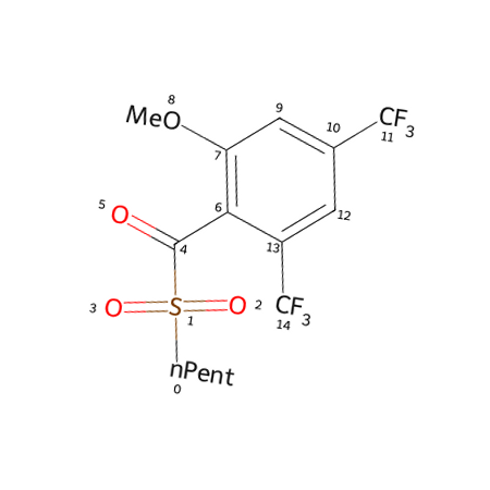 CCCCCS(=O)(=O)C(=O)c1c(OC)cc(C(F)(F)F)cc1C(F)(F)F